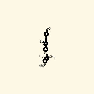 CCCCOC1CCc2c(cc(C)c(COC3CCC(c4ccc(C#Cc5ccc(N=C=S)cc5)c(CC)c4)CC3)c2C)C1